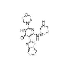 O=c1[nH]c(N2CCOCC2)nc(N[C@H]2CCCNC2)c1-c1nc2ccccc2s1